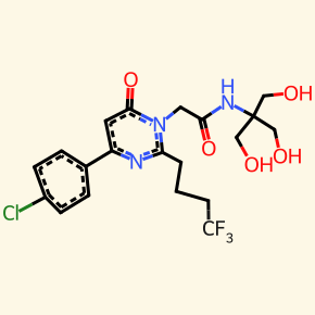 O=C(Cn1c(CCCC(F)(F)F)nc(-c2ccc(Cl)cc2)cc1=O)NC(CO)(CO)CO